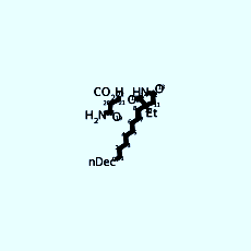 CCCCCCCCCCCCCCCCC=CC1(CC)CC(=O)NC1=O.NC(=O)CCC(=O)O